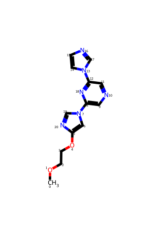 COCCOc1cn(-c2cncc(-n3ccnc3)n2)cn1